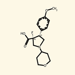 COc1ccc([C@@H]2CN(C3CCOCC3)C[C@@]2(F)C(=O)O)cc1